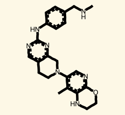 CNCc1ccc(Nc2ncc3c(n2)CN(c2cnc4c(c2C)NCCO4)CC3)cc1